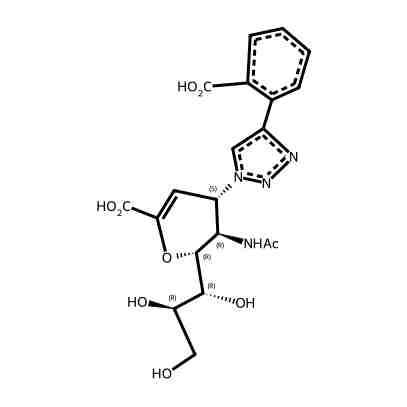 CC(=O)N[C@H]1[C@H]([C@H](O)[C@H](O)CO)OC(C(=O)O)=C[C@@H]1n1cc(-c2ccccc2C(=O)O)nn1